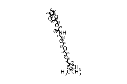 CC(C)(C)OC(=O)CCOCCOCCOCCNC(=O)COCC1COc2cscc2O1